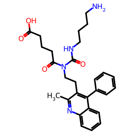 Cc1nc2ccccc2c(-c2ccccc2)c1CCN(C(=O)CCCC(=O)O)C(=O)NCCCCN